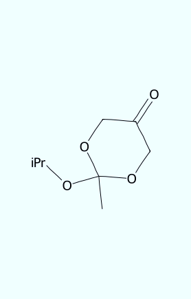 CC(C)OC1(C)OCC(=O)CO1